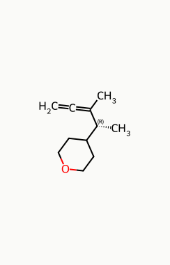 C=C=C(C)[C@H](C)C1CCOCC1